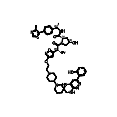 Cc1ncsc1-c1ccc([C@H](C)NC(=O)[C@@H]2C[C@@H](O)CN2C(=O)[C@@H](c2cc(OCCN3CCC(N4CCCC5(CNc6nnc(-c7ccccc7O)cc6N5)C4)CC3)no2)C(C)C)cc1